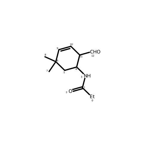 CCC(=O)NC1CC(C)(C)C=CC1C=O